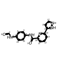 O=CNc1ccc(NC(=O)c2cccc(-c3ccn[nH]3)n2)cc1